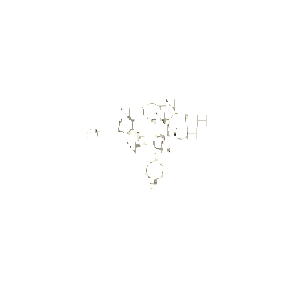 CCc1nc2ccc(-c3ncc(CC=O)cc3F)cn2c1N(C)c1nc(-c2ccc(F)cc2)c(C#N)s1